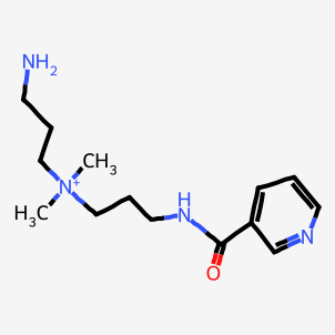 C[N+](C)(CCCN)CCCNC(=O)c1cccnc1